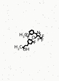 C=C(O)CCc1cc(F)c(OCc2c(-c3cccc(OC)c3)nsc2C(F)(F)F)c(F)c1